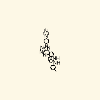 Cc1cccc(NC(=O)Nc2ccc(-c3nn([C@H]4CC[C@@H](N5CCN(C)CC5)CC4)c4ncnc(N)c34)cc2F)c1